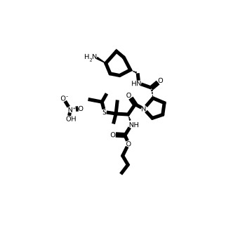 CCCOC(=O)N[C@@H](C(=O)N1CCC[C@H]1C(=O)NC[C@H]1CC[C@H](N)CC1)C(C)(C)SC(C)C.O=[N+]([O-])O